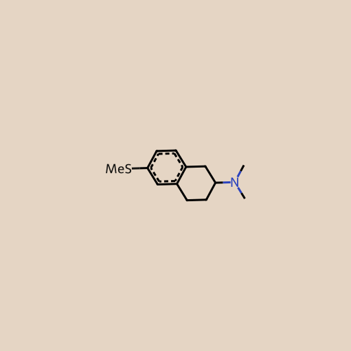 CSc1ccc2c(c1)CCC(N(C)C)C2